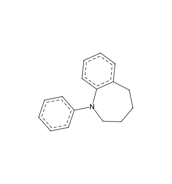 c1ccc(N2CCCCc3ccccc32)cc1